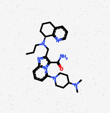 CCCN(Cc1nc2cccc(N3CCC(N(C)C)CC3)n2c1C(N)=O)[C@H]1CCCc2cccnc21